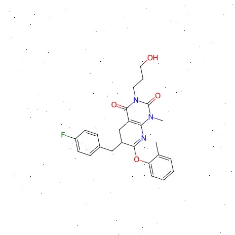 Cc1ccccc1OC1=Nc2c(c(=O)n(CCCO)c(=O)n2C)CC1Cc1ccc(F)cc1